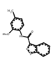 COc1cc(C)ccc1NC(=O)c1nsc2ccccc12